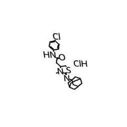 CN1/C(=N/C23CC4CC(CC(C4)C2)C3)SCC1CC(=O)Nc1ccc(Cl)cc1.Cl